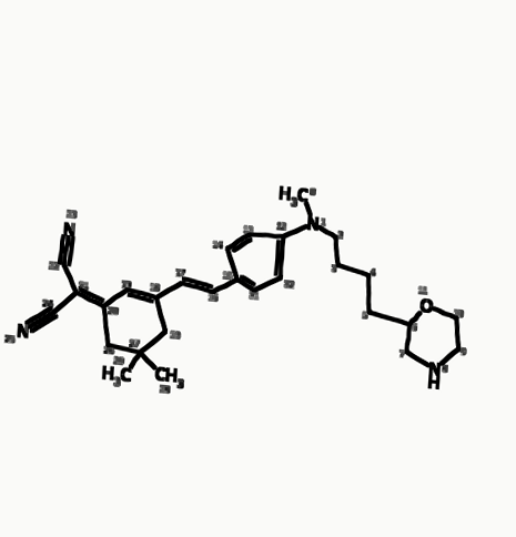 CN(CCCCC1CNCCO1)c1ccc(/C=C/C2=CC(=C(C#N)C#N)CC(C)(C)C2)cc1